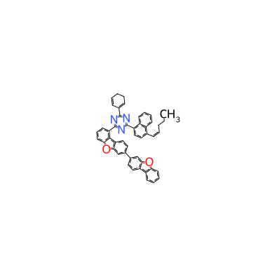 CCC/C=C\c1ccc(-c2nc(C3=CCCC=C3)nc(-c3cccc4oc5cc(-c6ccc7c(c6)oc6ccccc67)ccc5c34)n2)c2ccccc12